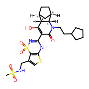 CS(=O)(=O)NCc1csc2c1S(=O)(=O)N=C(C1=C(O)[C@@H]3[C@H]4CC[C@H](C4)[C@@H]3N(CCC3CCCC3)C1=O)N2